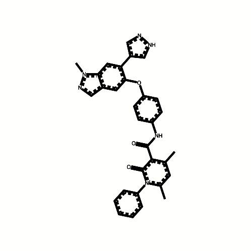 Cc1cc(C)n(-c2ccccc2)c(=O)c1C(=O)Nc1ccc(Oc2cc3cnn(C)c3cc2-c2cn[nH]c2)cc1